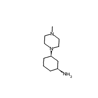 CN1CCN([C@@H]2CCC[C@H](N)C2)CC1